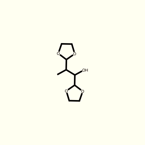 CC(C1OCCO1)C(O)C1OCCO1